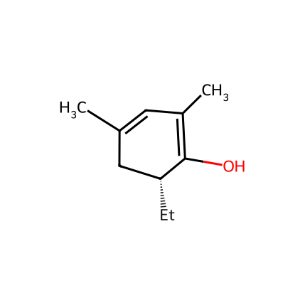 CC[C@@H]1CC(C)=CC(C)=C1O